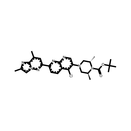 Cc1cn2nc(-c3ccc4c(Cl)c(N5C[C@H](C)N(C(=O)OC(C)(C)C)[C@@H](C)C5)cnc4n3)cc(C)c2n1